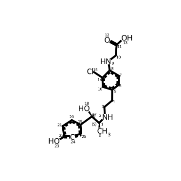 C[C@H](NCCc1ccc(NCC(=O)O)c(Cl)c1)[C@H](O)c1ccc(O)cc1